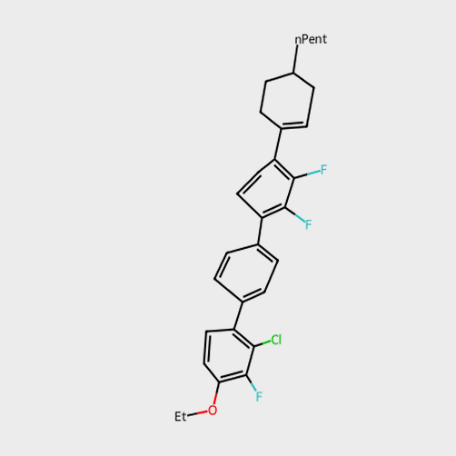 CCCCCC1CC=C(c2ccc(-c3ccc(-c4ccc(OCC)c(F)c4Cl)cc3)c(F)c2F)CC1